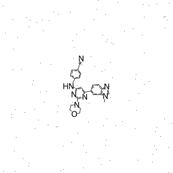 Cn1cnc2ccc(-c3cc(Nc4ccc(C#N)cc4)nc(N4CCOCC4)n3)cc21